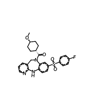 CO[C@H]1CC[C@H](C(=O)N2Cc3cccnc3Nc3ccc(S(=O)(=O)c4ccc(F)cc4)cc32)CC1